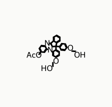 CC(=O)Oc1ccc2nc3c(nc2c1)C(c1ccc(OCCO)cc1)(c1ccc(OCCO)cc1)c1ccccc1-3